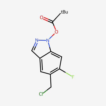 CC(C)(C)C(=O)On1ncc2cc(CCl)c(F)cc21